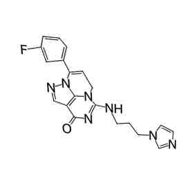 O=c1nc(NCCCn2ccnc2)n2c3c1cnn3C(c1cccc(F)c1)=CC2